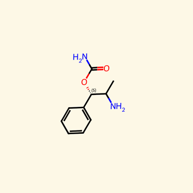 CC(N)[C@@H](OC(N)=O)c1ccccc1